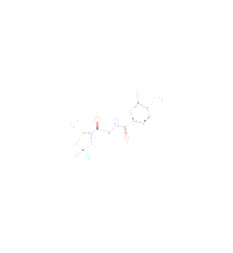 N#Cc1ccc(C(=O)NCC(=O)N2CC(F)(F)CC2C#N)cc1F